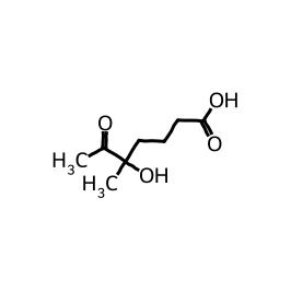 CC(=O)C(C)(O)CCCC(=O)O